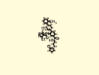 CCc1noc(C)c1C(=O)Nc1cc(C(=O)NCCCN2CCCC2=O)ccc1N1CCN(c2ccccc2C)CC1